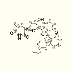 COc1ccc(C2(OC[C@H]3O[C@@H](n4cc(C)c(=O)[nH]c4=O)CC3O)c3ccccc3Oc3ccccc32)cc1